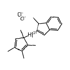 CC1=C[C](C)([Hf+2][C]2=Cc3ccccc3C2C)C(C)=C1C.[Cl-].[Cl-]